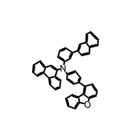 c1cc(-c2ccc3ccccc3c2)cc(N(c2ccc(-c3cccc4oc5ccccc5c34)cc2)c2cc3ccccc3c3ccccc23)c1